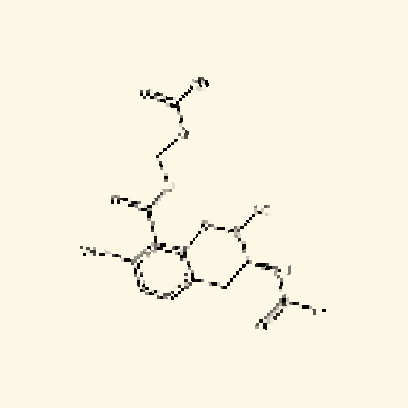 CCCC(=O)N[C@H]1Cc2ccc(OC)c(C(=O)OCOC(=O)C(C)(C)C)c2OB1N=O